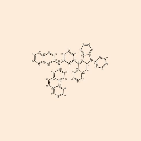 c1ccc(-n2c3ccccc3c3c(-c4cccc(N(c5ccc6ccccc6c5)c5ccc6c(ccc7ccccc76)c5)c4)c4ccccc4cc32)cc1